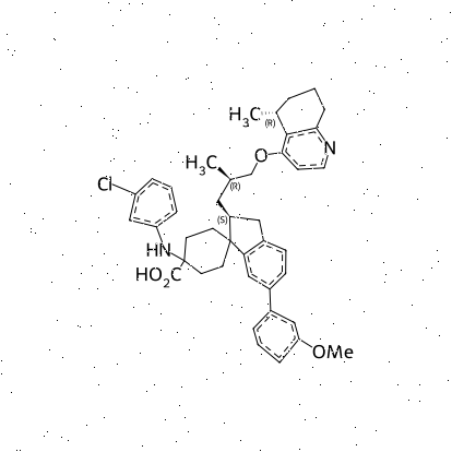 COc1cccc(-c2ccc3c(c2)C2(CCC(Nc4cccc(Cl)c4)(C(=O)O)CC2)[C@@H](C[C@@H](C)COc2ccnc4c2[C@H](C)CCC4)C3)c1